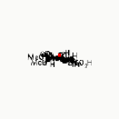 COC[C@H]1C[C@@H](c2ncc(-c3ccc4c(c3)COc3cc5c(ccc6nc([C@@H]7CC[C@H](C)N7C(=O)[C@@H](NC(=O)O)C(C)C)[nH]c65)cc3-4)[nH]2)N(C(=O)[C@@H](NC(=O)OC)C(C)C)C1.C[C](C)C